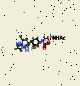 CC(=O)NC[C@H]1CN(c2ccc(C(=N)CC(C)n3nccn3)c(F)c2)C(=O)O1